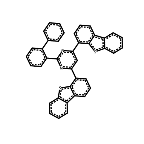 c1ccc(-c2ccccc2-c2nc(-c3cccc4c3sc3ccccc34)cc(-c3cccc4c3sc3ccccc34)n2)cc1